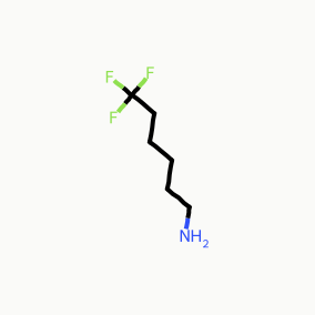 NCCCCCC(F)(F)F